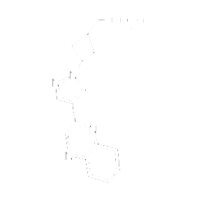 CCOC(=O)CC1CC(n2cc(-c3cnc4ccccc4n3)cn2)C1